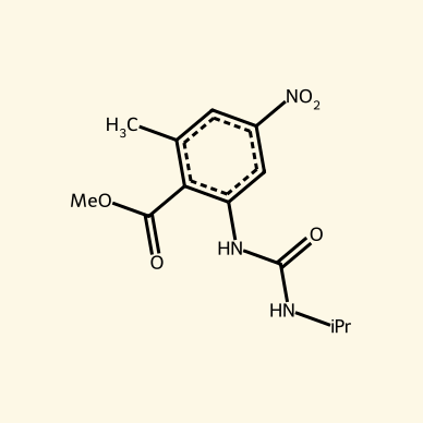 COC(=O)c1c(C)cc([N+](=O)[O-])cc1NC(=O)NC(C)C